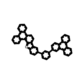 c1cc(-c2ccc3oc4c(ccc5c6ccccc6c6ccccc6c54)c3c2)cc(-c2ccc3c4ccccc4c4ccccc4c3c2)c1